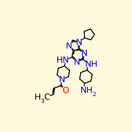 CC=CC(=O)N1CCC(Nc2nc(NC3CCC(N)CC3)nc3c2ncn3C2CCCC2)CC1